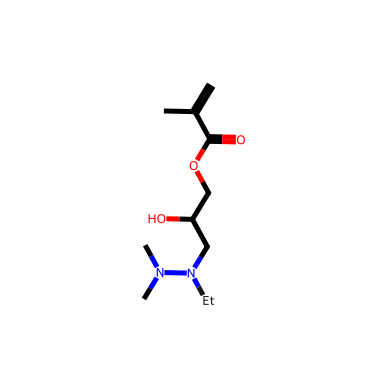 C=C(C)C(=O)OCC(O)CN(CC)N(C)C